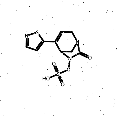 O=C1N2CC=C(c3ccns3)C(C2)N1OS(=O)(=O)O